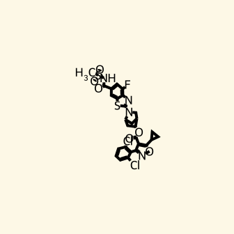 CS(=O)(=O)NC(=O)c1cc(F)c2nc(N3CC4CC3CC4OC(=O)c3c(-c4c(Cl)cccc4Cl)noc3C3CC3)sc2c1